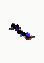 CN[C@@H](C(=O)N1CCC[C@H]1C(=O)Nc1ccc2[nH]c(-c3ccc(NC(=O)C(NC(=O)OC(C)C)C(C)C)cc3)cc2c1)c1ccccc1